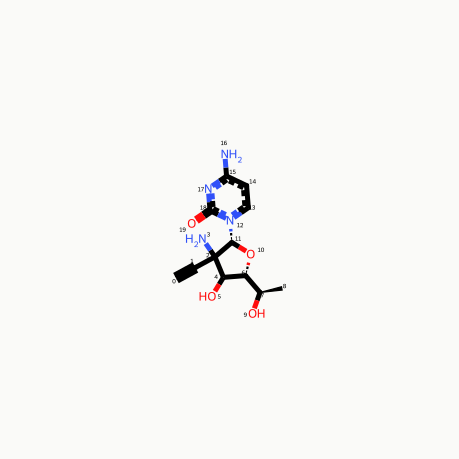 C#CC1(N)C(O)[C@@H]([C@@H](C)O)O[C@H]1n1ccc(N)nc1=O